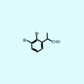 CC([C]=O)c1cccc(Br)c1Br